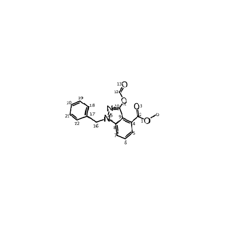 COC(=O)c1cccc2c1c(OC=O)nn2Cc1ccccc1